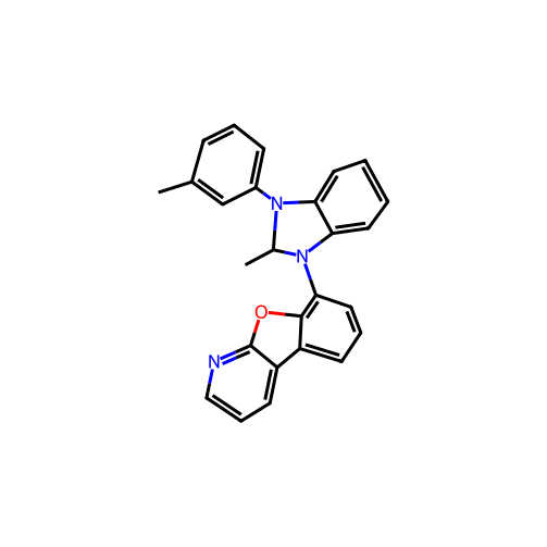 Cc1cccc(N2c3ccccc3N(c3cccc4c3oc3ncccc34)C2C)c1